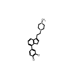 CN1CCN(CCC2=CCc3c2cccc3-c2ccc(Cl)c(Cl)c2)CC1